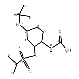 CC(C)S(=O)(=O)CC1CC(NC(C)(C)C)CCC1NC(=O)O